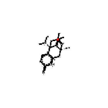 C/C=C1\[C@H]2C=C(C)C[C@]1(N(C)C)c1ccc(=O)[nH]c1C2